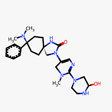 CN1CC(N2C[C@]3(CC[C@](c4ccccc4)(N(C)C)CC3)NC2=O)=CN=C1N1CCNC(O)C1